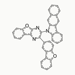 c1ccc2cc3c(cc2c1)c1ccccc1n3-c1nc2oc3ccccc3c2nc1-c1ccc2oc3ccccc3c2c1